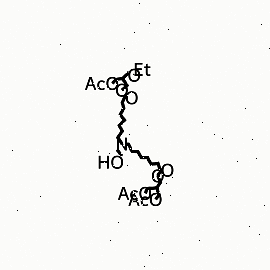 CCOCC(COC(C)=O)COC(=O)CCCCCCCN(CCO)CCCCCCCC(=O)OCC(COC(C)=O)COC(C)=O